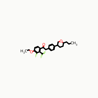 CCCC1CCC(c2ccc(CC(=O)c3ccc(OCC)c(F)c3C(F)F)cc2)CO1